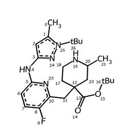 Cc1cc(Nc2ccc(F)c(CC3(C(=O)OC(C)(C)C)CCNC(C)C3)n2)nn1C(C)(C)C